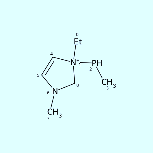 CC[N+]1(PC)C=CN(C)C1